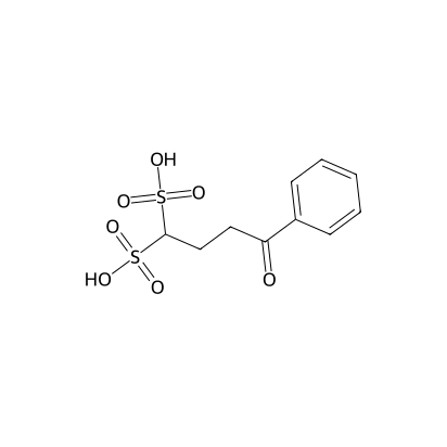 O=C(CCC(S(=O)(=O)O)S(=O)(=O)O)c1ccccc1